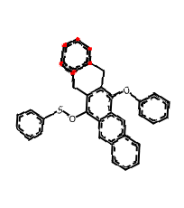 c1ccc(Oc2c3c(c(OSc4ccccc4)c4cc5ccccc5cc24)C2c4ccccc4C3c3ccccc32)cc1